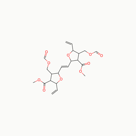 C=CC1OC(C=CC2OC(C=C)C(C(=O)OC)C2COC=O)C(C(=O)OC)C1COC=O